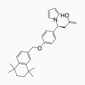 C=C(O)C[C@@H](c1ccc(OCc2ccc3c(c2)C(C)(C)CCC3(C)C)cc1)n1cccc1